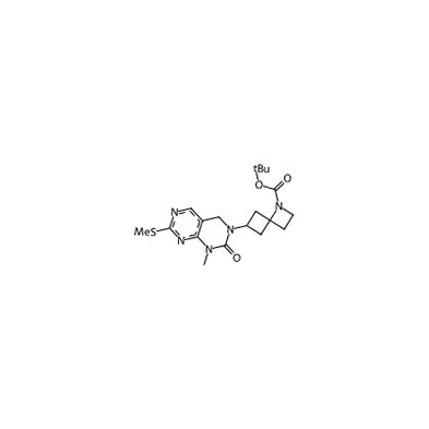 CSc1ncc2c(n1)N(C)C(=O)N(C1CC3(CCN3C(=O)OC(C)(C)C)C1)C2